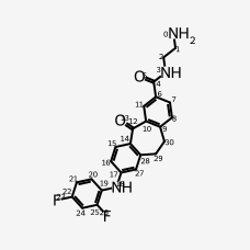 NCCNC(=O)c1ccc2c(c1)C(=O)c1ccc(Nc3ccc(F)cc3F)cc1CC2